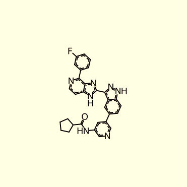 O=C(Nc1cncc(-c2ccc3[nH]nc(-c4nc5c(-c6cccc(F)c6)nccc5[nH]4)c3c2)c1)C1CCCC1